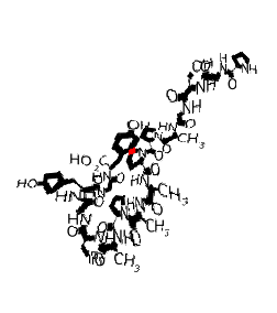 CC(C)C[C@H](NC(=O)[C@H](C)NC(=O)[C@@H]1CCCN1C(=O)[C@H](C)NC(=O)[C@H](C)NC(=O)[C@@H]1CCCN1C(=O)[C@@H]1CCCN1C(=O)[C@H](C)NC(=O)CNC(=O)[C@H](CO)NC(=O)CNC(=O)[C@@H]1CCCN1)C(=O)NCC(=O)N[C@@H](Cc1ccc(O)cc1)C(=O)NCC(=O)N[C@@H](Cc1ccc(O)cc1)C(=O)O